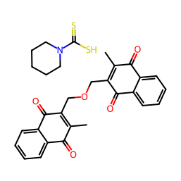 CC1=C(COCC2=C(C)C(=O)c3ccccc3C2=O)C(=O)c2ccccc2C1=O.S=C(S)N1CCCCC1